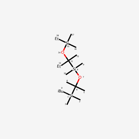 CCC(C)[Si](C)(C)C(C)(C)O[Si](C)(C)C(C)(CC)O[Si](C)(C)CC